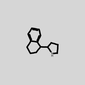 c1ccc2c(c1)CCCC2C1CCCN1